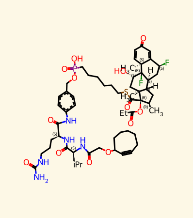 CCC(=O)O[C@]1(C(=O)SCCCCCCP(=O)(O)OCc2ccc(NC(=O)[C@H](CCCNC(N)=O)NC(=O)[C@@H](NC(=O)COC3C#CCCCCC3)C(C)C)cc2)[C@H](C)C[C@H]2[C@@H]3C[C@H](F)C4=CC(=O)C=C[C@]4(C)[C@@]3(F)[C@@H](O)C[C@@]21C